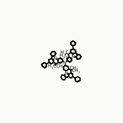 CC1(C)c2cc(N(C3=CC4C(C=C3)n3c5c(c6c3C(=CC(C3=CC=CCC3)C6)C4(C)C)CCCC5)c3ccc4c(c3)C(C)(C)c3cc(-c5ccccc5)cc5c6ccccc6n-4c35)ccc2-n2c3ccccc3c3cc(-c4ccccc4)cc1c32